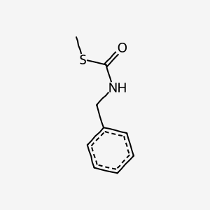 CSC(=O)NCc1ccccc1